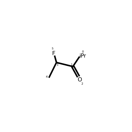 CC(C)C(=O)C(C)F